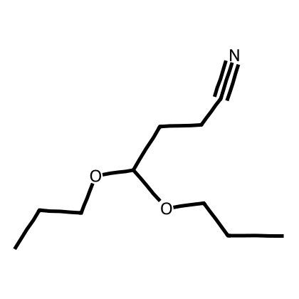 CCCOC(CCC#N)OCCC